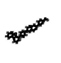 ISc1ccc(-c2ccc3cc(-c4ccc(-c5cccc6c5oc5ncccc56)nc4)cnc3c2)cc1